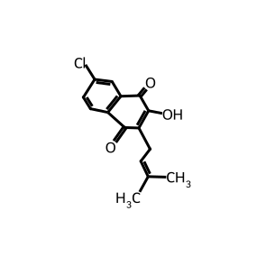 CC(C)=CCC1=C(O)C(=O)c2cc(Cl)ccc2C1=O